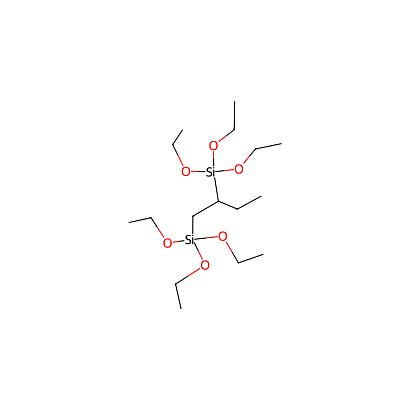 CCO[Si](CC(CC)[Si](OCC)(OCC)OCC)(OCC)OCC